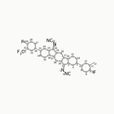 [C-]#[N+]/N=c1\c2cc(-c3ccc(F)c(C)c3)ccc2c2cc3/c(=N/C#N)c4cc(-c5ccc(F)c(C(F)(F)F)c5)ccc4c3cc12